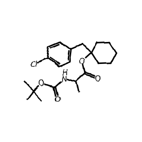 CC(NC(=O)OC(C)(C)C)C(=O)OC1(Cc2ccc(Cl)cc2)CCCCC1